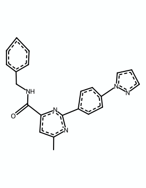 Cc1cc(C(=O)NCc2ccccc2)nc(-c2ccc(-n3cccn3)cc2)n1